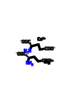 N[C@@H](CCC(=O)[O-])C(=O)[O-].N[C@@H](CCC(=O)[O-])C(=O)[O-].[Ca+2].[Mg+2]